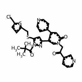 CC(C)(C)C(=O)n1nc(-c2cn(CC(=O)c3cccnc3)c(=O)cc2-c2ccncc2)cc1SCc1ccc(Cl)s1